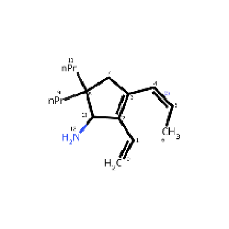 C=CC1=C(/C=C\C)CC(CCC)(CCC)C1N